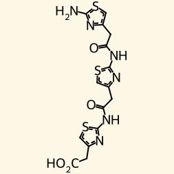 Nc1nc(CC(=O)Nc2nc(CC(=O)Nc3nc(CC(=O)O)cs3)cs2)cs1